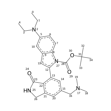 CCN(CC)c1ccc2c(c1)cc(-c1cc(CN(C)C)cc3c1C(=O)NC3)n2C(=O)OC(C)(C)C